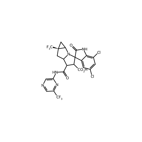 O=C(Nc1cncc(C(F)(F)F)n1)C1C2C[C@]3(C(F)(F)F)CC3N2C2(C(=O)Nc3c(Cl)cc(Cl)cc32)C1C(=O)O